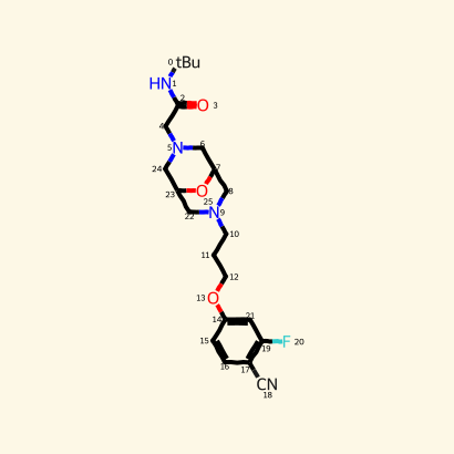 CC(C)(C)NC(=O)CN1CC2CN(CCCOc3ccc(C#N)c(F)c3)CC(C1)O2